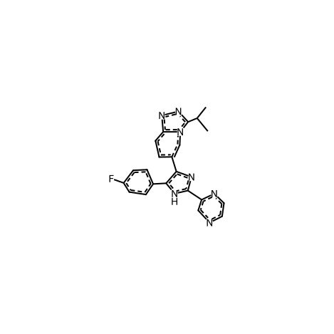 CC(C)c1nnc2ccc(-c3nc(-c4cnccn4)[nH]c3-c3ccc(F)cc3)cn12